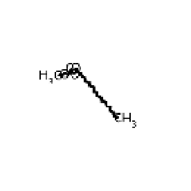 CCCCCCCCCCCCCCCCCCCC(=O)OC(=O)COCC